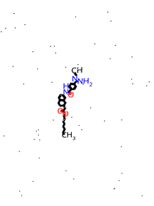 C#CCN=C(N)c1ccc(C(=O)Nc2ccc3c(c2)CC(CC(=O)OCCCCCCCC)CC3)cc1